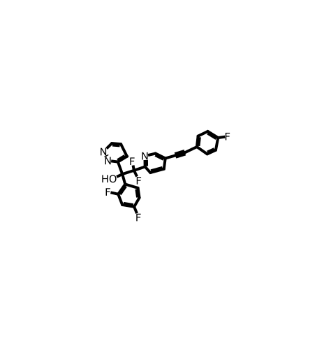 OC(c1cccnn1)(c1ccc(F)cc1F)C(F)(F)c1ccc(C#Cc2ccc(F)cc2)cn1